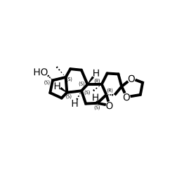 C[C@]12CC[C@H]3[C@@H](C[C@@H]4O[C@@]45CC4(CC[C@]35C)OCCO4)[C@@H]1CC[C@@H]2O